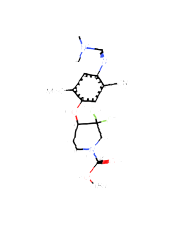 COc1cc(/N=C\N(C)C)c(C#N)cc1OC1CCN(C(=O)OC(C)(C)C)CC1(F)F